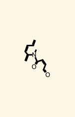 C=C/C=C\C(=C)N(C)C(=O)/C=C\C=O